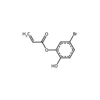 C=CC(=O)Oc1cc(Br)ccc1O